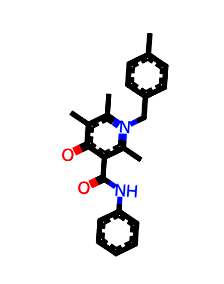 Cc1ccc(Cn2c(C)c(C)c(=O)c(C(=O)Nc3ccccc3)c2C)cc1